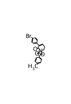 Cc1ccc(S(=O)(=O)N2CCC=C(c3ccc(Br)cc3)C2=O)cc1